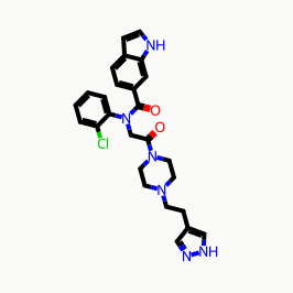 O=C(CN(C(=O)c1ccc2cc[nH]c2c1)c1ccccc1Cl)N1CCN(CCc2cn[nH]c2)CC1